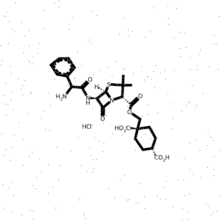 CC1(C)S[C@@H]2[C@H](NC(=O)C(N)c3ccccc3)C(=O)N2[C@H]1C(=O)OC[C@]1(C(=O)O)CC[C@H](C(=O)O)CC1.Cl